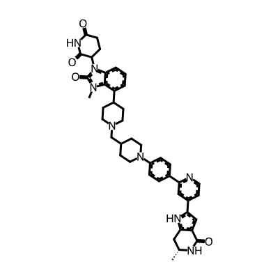 C[C@@H]1Cc2[nH]c(-c3ccnc(-c4ccc(N5CCC(CN6CCC(c7cccc8c7n(C)c(=O)n8C7CCC(=O)NC7=O)CC6)CC5)cc4)c3)cc2C(=O)N1